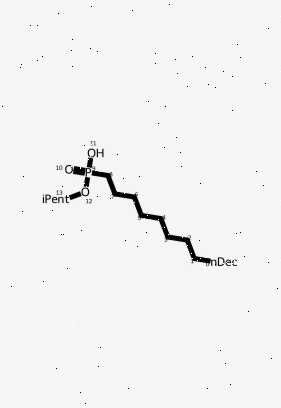 CCCCCCCCCCCCCCCCCCP(=O)(O)OC(C)CCC